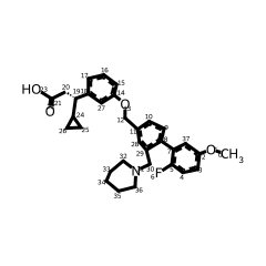 COc1ccc(F)c(-c2ccc(COc3cccc([C@@H](CC(=O)O)C4CC4)c3)cc2CN2CCCCC2)c1